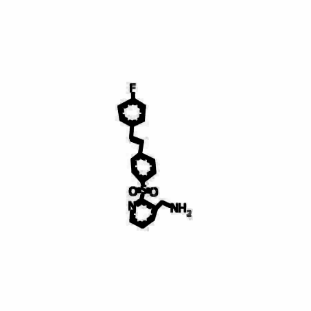 NCc1cccnc1S(=O)(=O)c1ccc(/C=C/c2ccc(F)cc2)cc1